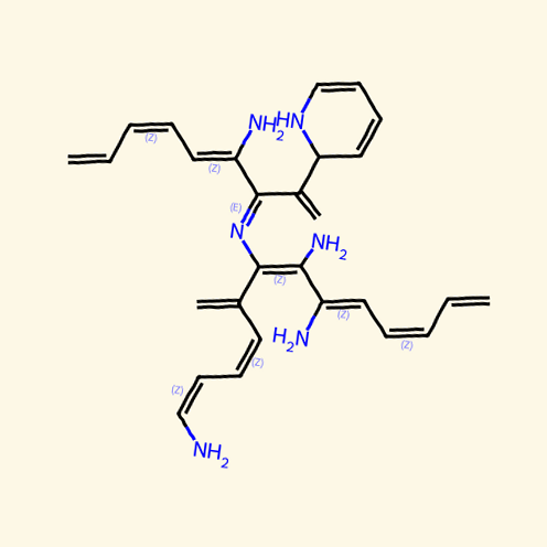 C=C\C=C/C=C(N)/C(N)=C(/N=C(C(=C)C1C=CC=CN1)/C(N)=C/C=C\C=C)C(=C)/C=C\C=C/N